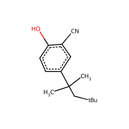 CC(C)(C)CC(C)(C)c1ccc(O)c(C#N)c1